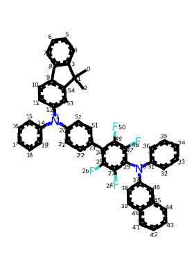 CC1(C)c2ccccc2-c2ccc(N(c3ccccc3)c3ccc(-c4c(F)c(F)c(N(c5ccccc5)c5ccc6ccccc6c5)c(F)c4F)cc3)cc21